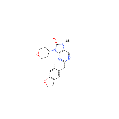 CCn1c(=O)n(C2CCOCC2)c2nc(Cc3cc4c(cc3C)OCC4)ncc21